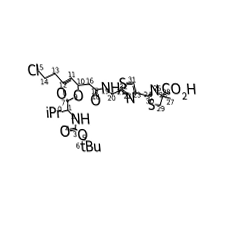 CC(C)C(NC(=O)OC(C)(C)C)C(=O)OC(/C=C/CCCl)CC(=O)NCc1nc(C2=N[C@](C)(C(=O)O)CS2)cs1